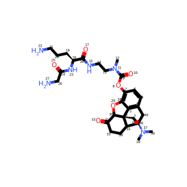 CC[C@]12c3c4ccc(OC(=O)N(C)CCNC(=O)[C@H](CCCN)NC(=O)CN)c3OC1C(=O)CCC2[C@H](N(C)C)C4